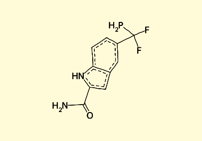 NC(=O)c1cc2cc(C(F)(F)P)ccc2[nH]1